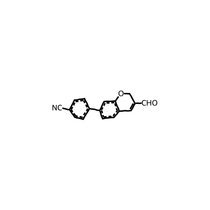 N#Cc1ccc(-c2ccc3c(c2)OCC(C=O)=C3)cc1